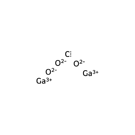 [C].[Ga+3].[Ga+3].[O-2].[O-2].[O-2]